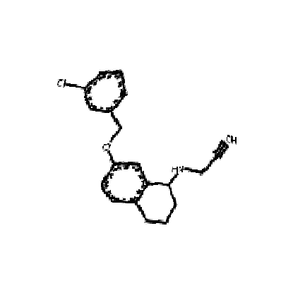 C#CCNC1CCCc2ccc(OCc3cccc(Cl)c3)cc21